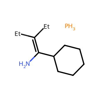 CCC(CC)=C(N)C1CCCCC1.P